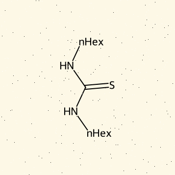 CCCCCCNC(=S)NCCCCCC